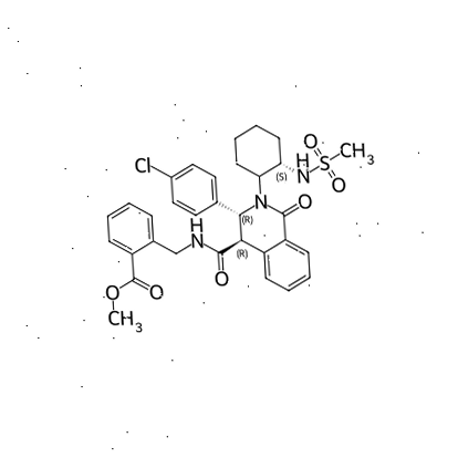 COC(=O)c1ccccc1CNC(=O)[C@@H]1c2ccccc2C(=O)N(C2CCCC[C@@H]2NS(C)(=O)=O)[C@H]1c1ccc(Cl)cc1